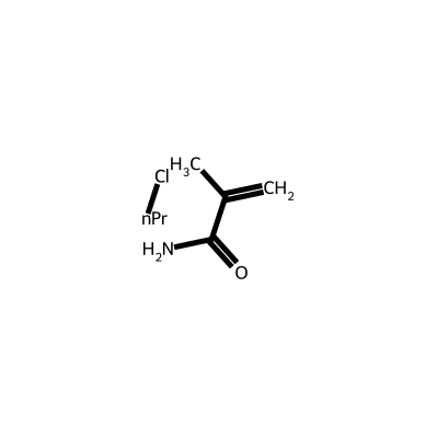 C=C(C)C(N)=O.CCCCl